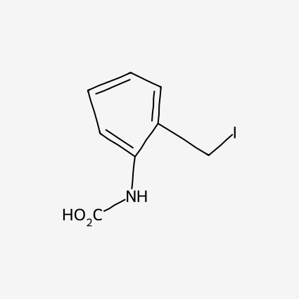 O=C(O)Nc1ccccc1CI